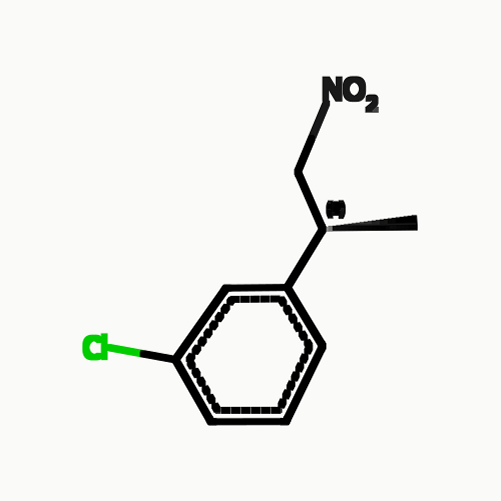 C[C@@H](C[N+](=O)[O-])c1cccc(Cl)c1